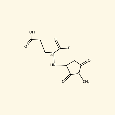 CN1C(=O)CC(N[C@@H](CCC(=O)O)C(=O)F)C1=O